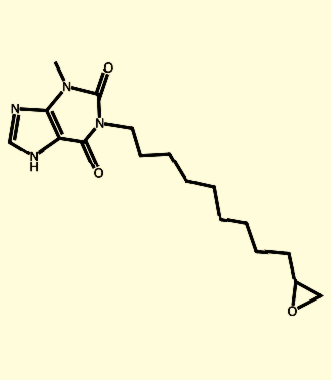 Cn1c(=O)n(CCCCCCCCCC2CO2)c(=O)c2[nH]cnc21